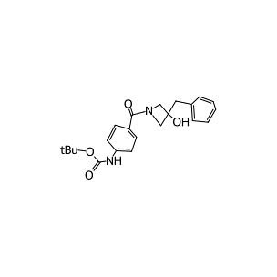 CC(C)(C)OC(=O)Nc1ccc(C(=O)N2CC(O)(Cc3ccccc3)C2)cc1